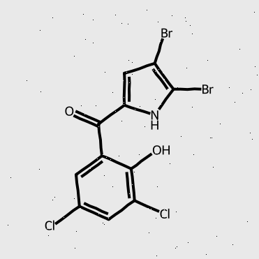 O=C(c1cc(Br)c(Br)[nH]1)c1cc(Cl)cc(Cl)c1O